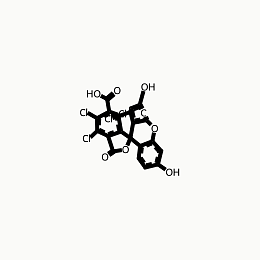 O=C(O)c1c(Cl)c(Cl)c2c(c1Cl)C1(OC2=O)c2ccc(O)cc2Oc2cc(O)cc(Cl)c21